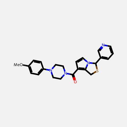 COc1ccc(N2CCN(C(=O)c3ccn4c3CSC4c3cccnc3)CC2)cc1